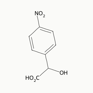 O=C(O)C(O)c1ccc([N+](=O)[O-])cc1